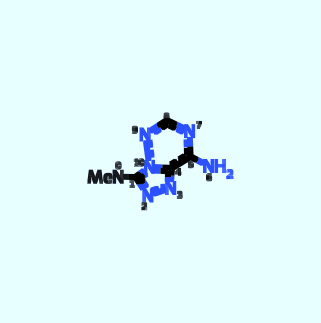 CNc1nnc2c(N)ncnn12